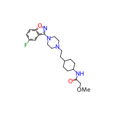 COCC(=O)NC1CCC(CCN2CCN(c3noc4ccc(F)cc34)CC2)CC1